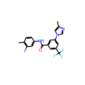 Cc1cn(-c2cc(C(=O)Nc3ccc(C)c(I)c3)cc(C(F)(F)F)c2)cn1